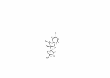 Cc1ccc2c(c1)C(C)C(C)(c1ccc(C)o1)[CH]2